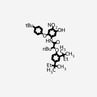 CCCCC(Oc1ccc(C(C)(C)CC)cc1C(C)(C)CC)C(=O)Nc1cc(O)c([N+](=O)[O-])cc1Oc1ccc(C(C)(C)C)cc1